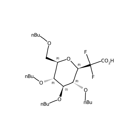 CCCCOC[C@H]1O[C@@H](C(F)(F)C(=O)O)[C@H](OCCCC)[C@@H](OCCCC)[C@@H]1OCCCC